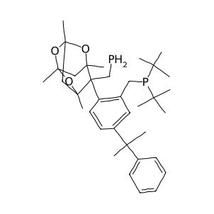 CC12CC3(C)OC(C)(CC(C)(O1)C3(CP)c1ccc(C(C)(C)c3ccccc3)cc1CP(C(C)(C)C)C(C)(C)C)O2